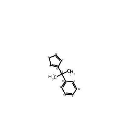 CC(C)(C1=[C]CC=C1)c1ccccc1